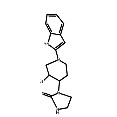 CCC1CN(c2cc3ccccc3[nH]2)CCC1N1CCNC1=S